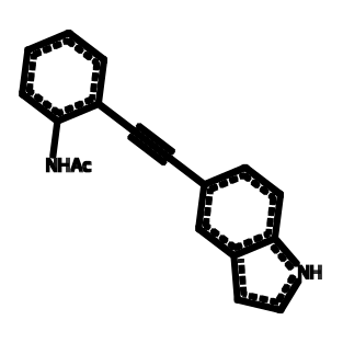 CC(=O)Nc1ccccc1C#Cc1ccc2[nH]ccc2c1